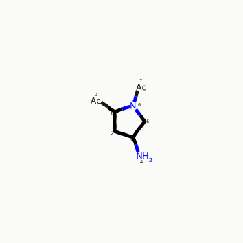 CC(=O)C1CC(N)CN1C(C)=O